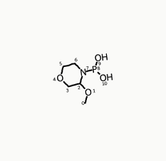 COC1COCCN1P(O)O